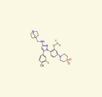 N#Cc1ccc(-c2cc(NCC34CCN(CC3)CC4)nn2-c2ccc(N3CCS(=O)(=O)CC3)cc2OC(F)F)cc1F